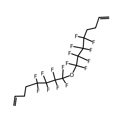 C=CCCC(F)(F)C(F)(F)C(F)(F)C(F)(F)OC(F)(F)C(F)(F)C(F)(F)C(F)(F)CCC=C